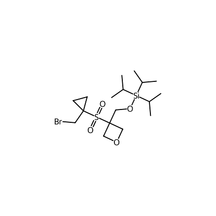 CC(C)[Si](OCC1(S(=O)(=O)C2(CBr)CC2)COC1)(C(C)C)C(C)C